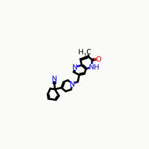 Cc1cc2ncc(CN3CC=C(C4(C#N)C=CC=CC4)CC3)cc2[nH]c1=O